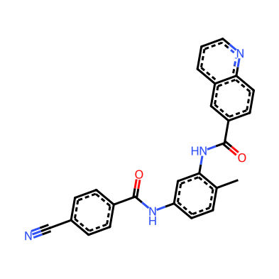 Cc1ccc(NC(=O)c2ccc(C#N)cc2)cc1NC(=O)c1ccc2ncccc2c1